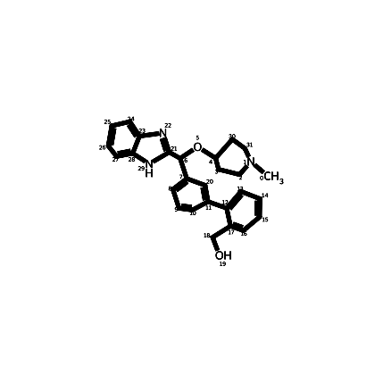 CN1CCC(OC(c2cccc(-c3ccccc3CO)c2)c2nc3ccccc3[nH]2)CC1